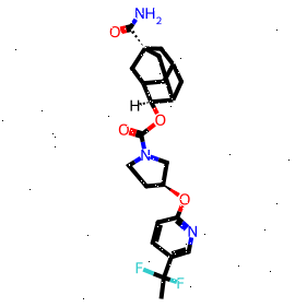 CC(F)(F)c1ccc(O[C@H]2CCN(C(=O)O[C@H]3C4CC5CC3C[C@](C(N)=O)(C5)C4)C2)nc1